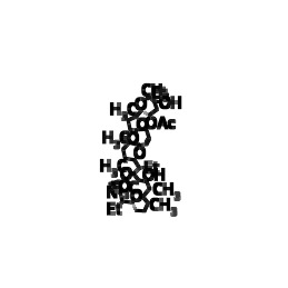 CC[C@@H](C(=O)[C@@H](C)[C@@H](O)[C@H](C)[C@@H]1O[C@@H]([C@@H](CC)c2ncco2)CC[C@@H]1C)[C@H]1O[C@]2(C=C[C@@H](OC(C)=O)[C@]3(CC[C@@](C)([C@H]4CC[C@](O)(CC)[C@H](C)O4)O3)O2)[C@H](C)C[C@@H]1C